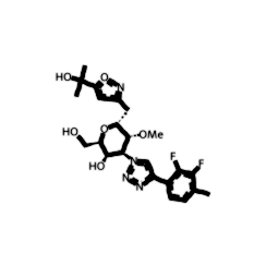 CO[C@@H]1[C@@H](n2cc(-c3ccc(C)c(F)c3F)nn2)[C@@H](O)[C@@H](CO)O[C@@H]1Cc1cc(C(C)(C)O)on1